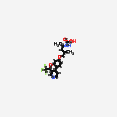 CC(COc1ccc2c(c1)OC(C(F)(F)F)c1cnccc1-2)C[C@H](C)NC(=O)O